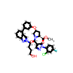 COC(=O)[C@@H]1C[C@H](Oc2cccc(-c3cccc4nn(CCCCO)cc34)c2)CN1C(=O)c1cnn(-c2ccc(F)cc2Cl)c1